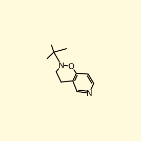 CC(C)(C)N1CCc2cnccc2O1